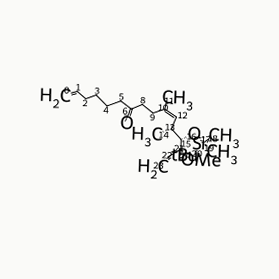 C=CCCCCC(=O)CC/C(C)=C\[C@@H](C)[C@H](O[Si](C)(C)C(C)(C)C)[C@H](C=C)OC